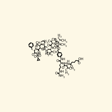 CO[C@H]([C@@H](C)C(=O)N[C@@H](Cc1ccccc1)C(=O)NS(=O)(=O)C1CC1)[C@@H]1CCCN1C(=O)C[C@@H](OC)[C@H](C(C)C)N(C)C(=O)[C@@H](NC(=O)[C@H](C(C)C)N(C)C(=O)OCc1ccc(NC(=O)[C@H](CCCNC(N)=O)NC(=O)[C@@H](NC(=O)CCCC(=O)O)C(C)C)cc1)C(C)C